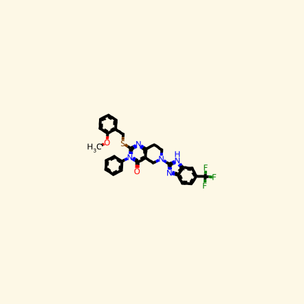 COc1ccccc1CSc1nc2c(c(=O)n1-c1ccccc1)CN(c1nc3ccc(C(F)(F)F)cc3[nH]1)CC2